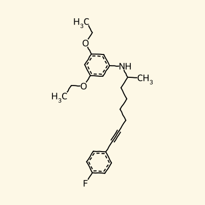 CCOc1cc(NC(C)CCCCC#Cc2ccc(F)cc2)cc(OCC)c1